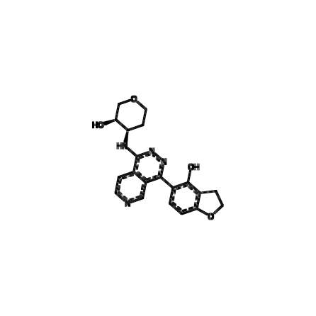 Oc1c(-c2nnc(N[C@@H]3CCOC[C@@H]3O)c3ccncc23)ccc2c1CCO2